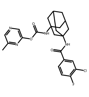 Cc1cncc(OC(=O)NC23CC4CC(C2)CC(NC(=O)c2ccc(F)c(Cl)c2)(C4)C3)n1